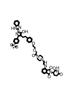 CS(=O)(=O)c1ccc(-c2nn(-c3nc4ccccc4[nH]3)c(O)c2CCc2ccc(OCCOCC(=O)N3CCN(CCNc4cccc5c4C(=O)N(C4CCC(=O)NC4=O)C5=O)CC3)cc2)cc1